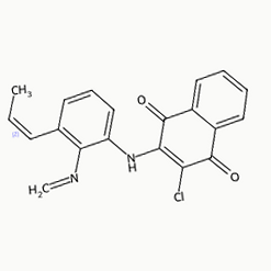 C=Nc1c(/C=C\C)cccc1NC1=C(Cl)C(=O)c2ccccc2C1=O